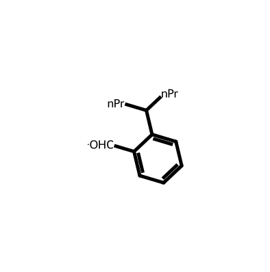 CCCC(CCC)c1ccccc1[C]=O